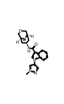 CN1[C@@H]2COC[C@H]1C[C@@H](NC(=O)c1cn(-c3cnn(C)c3)c3ccccc13)C2